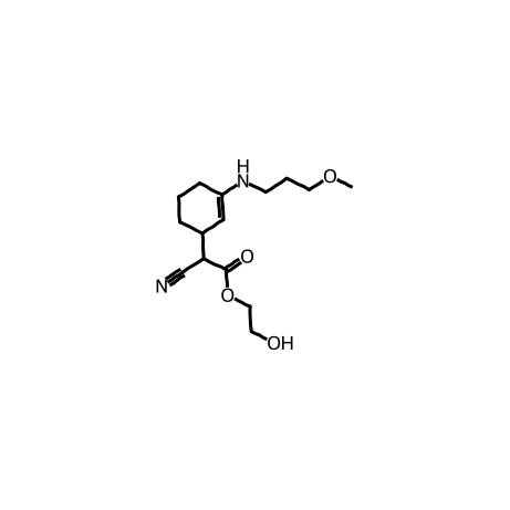 COCCCNC1=CC(C(C#N)C(=O)OCCO)CCC1